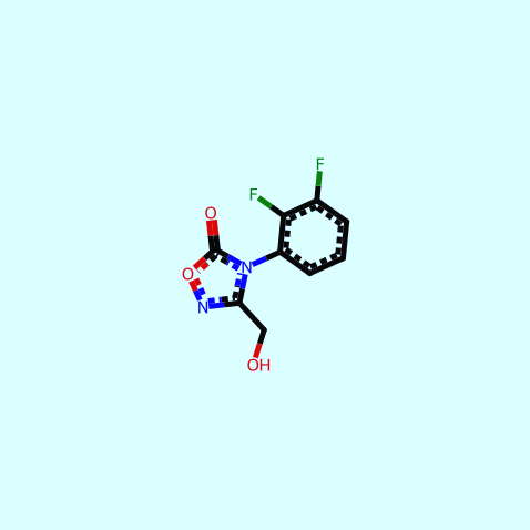 O=c1onc(CO)n1-c1cccc(F)c1F